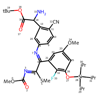 COC(=O)/N=C(SC)/C(=N/c1ccc(C#N)c(C(N)C(=O)OC(C)(C)C)c1)c1cc(OC)cc(O[Si](C(C)C)(C(C)C)C(C)C)c1F